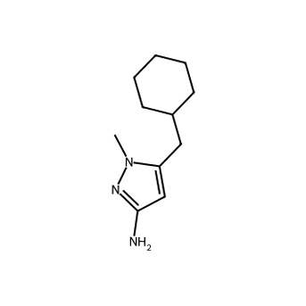 Cn1nc(N)cc1CC1CCCCC1